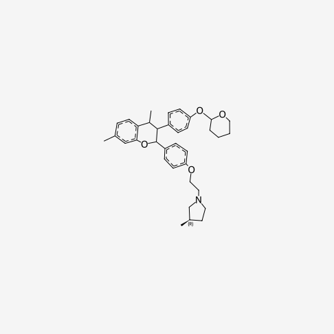 Cc1ccc2c(c1)OC(c1ccc(OCCN3CC[C@@H](C)C3)cc1)C(c1ccc(OC3CCCCO3)cc1)C2C